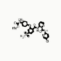 CN(C(=O)OC(C)(C)C)C1CCC(Oc2cc(S(C)(=O)=O)ccc2C(=O)Nc2cccnc2C(=O)Nc2ccc(Cl)cn2)CC1